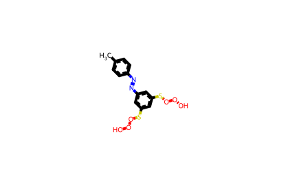 Cc1ccc(N=Nc2cc(SOOO)cc(SOOO)c2)cc1